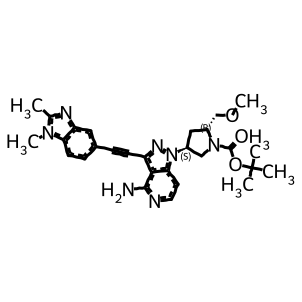 COC[C@H]1C[C@H](n2nc(C#Cc3ccc4c(c3)nc(C)n4C)c3c(N)nccc32)CN1C(=O)OC(C)(C)C